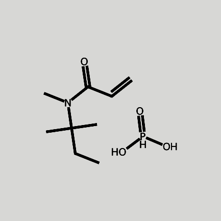 C=CC(=O)N(C)C(C)(C)CC.O=[PH](O)O